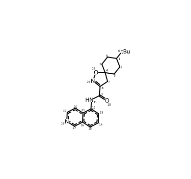 CC(C)(C)C1CCC2(CC1)CC(C(=O)Nc1cccc3cnccc13)=NO2